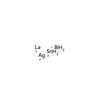 [Ag].[BiH3].[La].[SnH2]